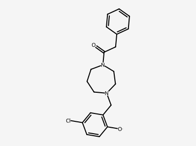 [O]c1ccc(Cl)cc1CN1CCCN(C(=O)Cc2ccccc2)CC1